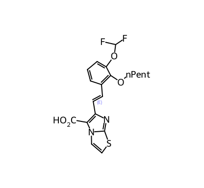 CCCCCOc1c(/C=C/c2nc3sccn3c2C(=O)O)cccc1OC(F)F